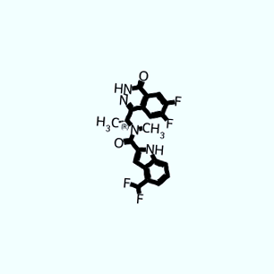 C[C@H](c1n[nH]c(=O)c2cc(F)c(F)cc12)N(C)C(=O)c1cc2c(C(F)F)cccc2[nH]1